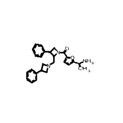 CC(N)c1ccc(C(=O)N2CC(c3ccccc3)C2CN2CC(c3ccccc3)C2)o1